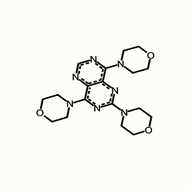 c1nc(N2CCOCC2)c2nc(N3CCOCC3)nc(N3CCOCC3)c2n1